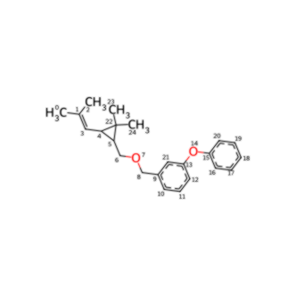 CC(C)=CC1C(COCc2cccc(Oc3ccccc3)c2)C1(C)C